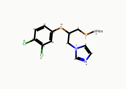 CCCCCCSCC(Cn1ccnc1)Sc1ccc(Cl)c(Cl)c1